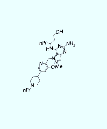 CCCC(CCO)Nc1nc(N)nc2cnn(Cc3ncc(C4CCN(CCC)CC4)cc3OC)c12